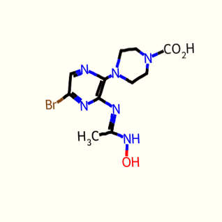 C/C(=N\c1nc(Br)cnc1N1CCN(C(=O)O)CC1)NO